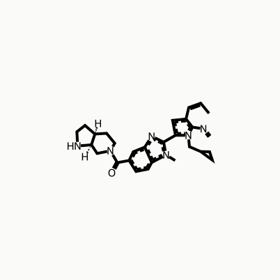 C=Nc1c(/C=C\C)cc(-c2nc3cc(C(=O)N4CC[C@@H]5CCN[C@@H]5C4)ccc3n2C)n1CC1CC1